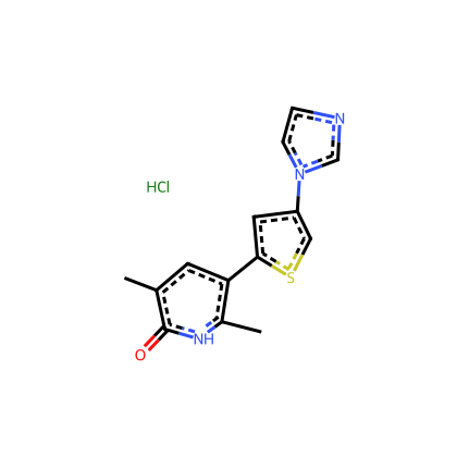 Cc1[nH]c(=O)c(C)cc1-c1cc(-n2ccnc2)cs1.Cl